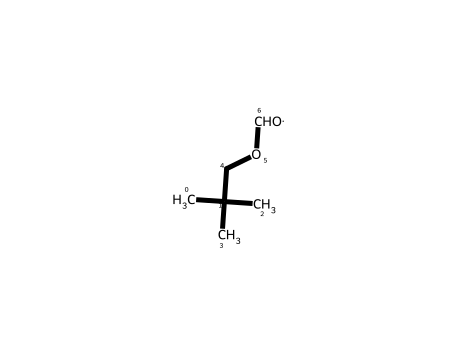 CC(C)(C)CO[C]=O